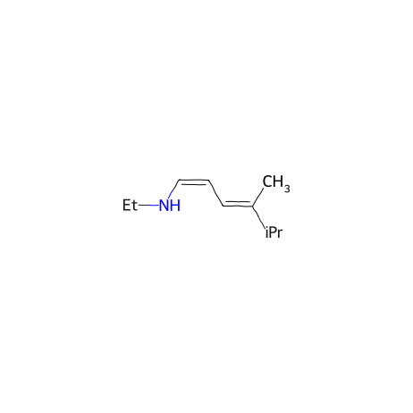 CCN/C=C\C=C(/C)C(C)C